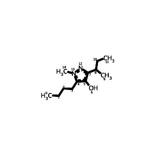 CCCCc1c(O)c(C(C)CC)nn1C